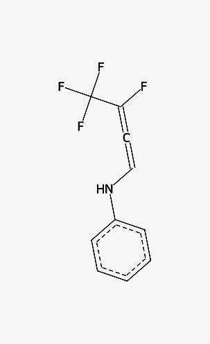 FC(=C=CNc1ccccc1)C(F)(F)F